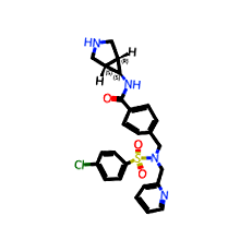 O=C(N[C@H]1[C@@H]2CNC[C@@H]21)c1ccc(CN(Cc2ccccn2)S(=O)(=O)c2ccc(Cl)cc2)cc1